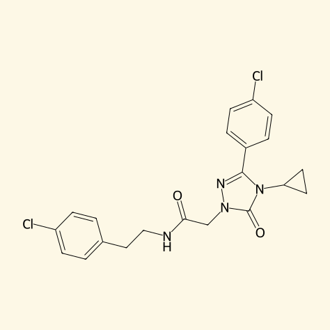 O=C(Cn1nc(-c2ccc(Cl)cc2)n(C2CC2)c1=O)NCCc1ccc(Cl)cc1